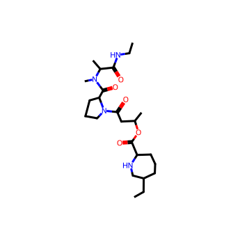 CCNC(=O)C(C)N(C)C(=O)C1CCCN1C(=O)CC(C)OC(=O)C1CCCC(CC)CN1